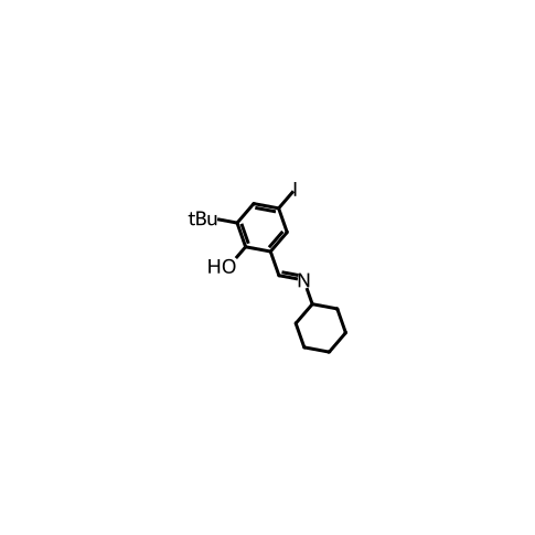 CC(C)(C)c1cc(I)cc(/C=N/C2CCCCC2)c1O